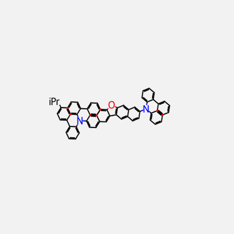 CC(C)c1ccc(-c2ccccc2N(c2ccc3cc4c(cc3c2)oc2cc3cc(N(c5ccccc5)c5ccccc5-c5ccccc5)ccc3cc24)c2ccccc2-c2ccccc2)cc1